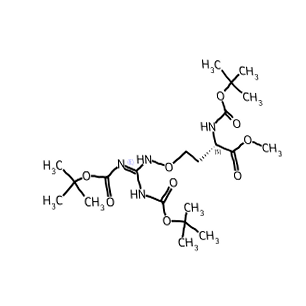 COC(=O)[C@H](CCON/C(=N/C(=O)OC(C)(C)C)NC(=O)OC(C)(C)C)NC(=O)OC(C)(C)C